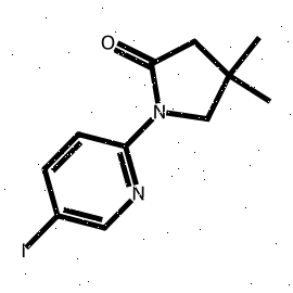 CC1(C)CC(=O)N(c2ccc(I)cn2)C1